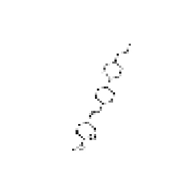 CCCC1CCC(C2CCC(/C=C/C3CCC(OC)OC3)CC2)CC1